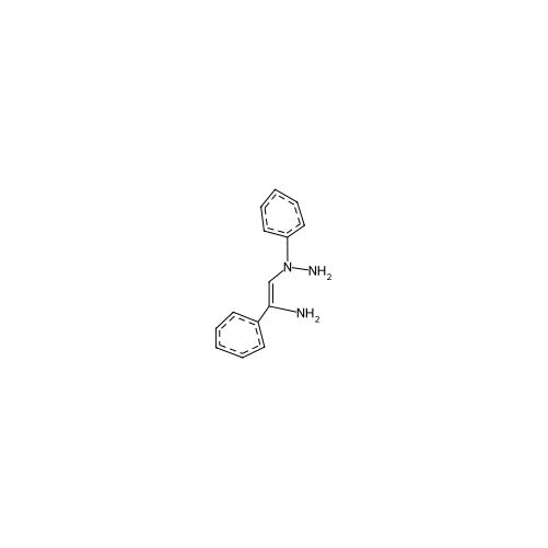 N/C(=C\N(N)c1ccccc1)c1ccccc1